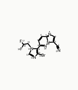 N#Cc1cnc2ccc(-c3c(Br)ncn3CC(F)F)nn12